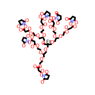 CCC(COCC(COCCOC(=O)CC(=O)ON1C(=O)CCC1=O)OCCOC(=O)CC(=O)ON1C(=O)CCC1=O)(COCC(COCCOC(=O)CC(=O)ON1C(=O)CCC1=O)OCCOC(=O)CC(=O)ON1C(=O)CCC1=O)COCC(COCCOC(=O)CC(=O)ON1C(=O)CCC1=O)OCCOC(=O)CC(=O)ON1C(=O)CCC1=O